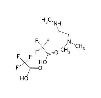 CNCCN(C)C.O=C(O)C(F)(F)F.O=C(O)C(F)(F)F